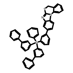 c1ccc(-c2cccc([Si](c3ccccc3)(c3cccc(-c4ccccc4)c3)c3cccc(-c4ccc5c(c4)nc4n5-c5ccccc5CS4)c3)c2)cc1